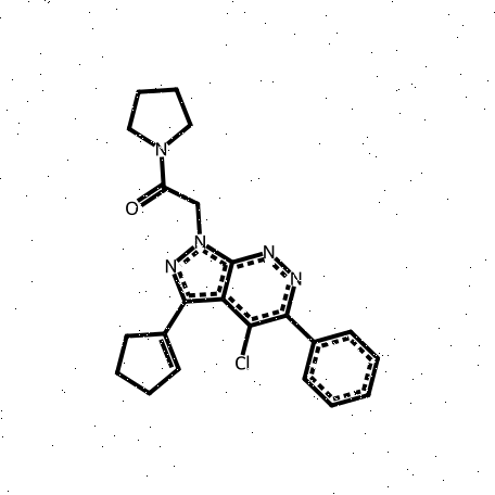 O=C(Cn1nc(C2=CCCC2)c2c(Cl)c(-c3ccccc3)nnc21)N1CCCC1